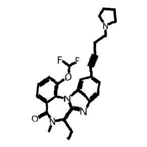 CCC1c2nc3ccc(C#CCCN4CCCC4)cc3n2-c2c(OC(F)F)cccc2C(=O)N1C